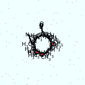 CCC1NC(=O)[C@@H]2[C@@H]([C@H](C)CCCCCC#N)ON2C(=O)C(C(C)C)N(C)C(=O)[C@H](CC(C)C)N(C)C(=O)C(CC(C)C)N(C)C(=O)CNC(=O)[C@H](C)NC(=O)[C@H](CC(C)C)N(C)C(=O)[C@H](C(C)C)NC(=O)C([C@@H](C)OCCCCN2CCOCC2)N(C)C(=O)[C@@H](C)N(C)C1=O